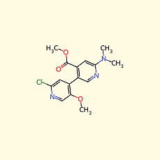 COC(=O)c1cc(N(C)C)ncc1-c1cc(Cl)ncc1OC